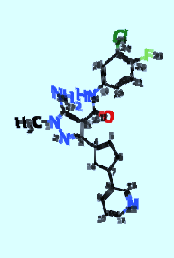 Cn1nc(C2=CCC(c3cccnc3)C2)c(C(=O)Nc2ccc(F)c(Cl)c2)c1N